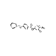 CC(=O)C1C(=O)C=C(OC(=O)c2ccc(OCc3ccccc3)cc2)CC1(C)C